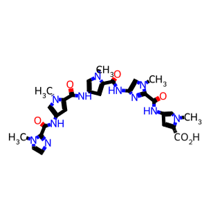 Cn1cc(NC(=O)c2nc(NC(=O)c3cc(NC(=O)c4cc(NC(=O)c5nccn5C)cn4C)cn3C)cn2C)cc1C(=O)O